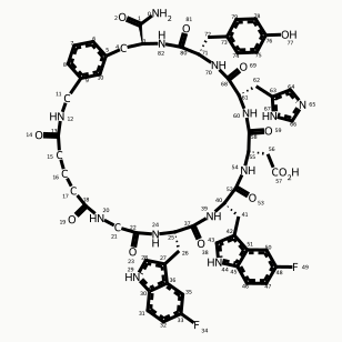 NC(=O)[C@@H]1Cc2cccc(c2)CNC(=O)CCCC(=O)NCC(=O)N[C@@H](Cc2c[nH]c3ccc(F)cc23)C(=O)N[C@@H](Cc2c[nH]c3ccc(F)cc23)C(=O)N[C@@H](CC(=O)O)C(=O)N[C@@H](Cc2cnc[nH]2)C(=O)N[C@@H](Cc2ccc(O)cc2)C(=O)N1